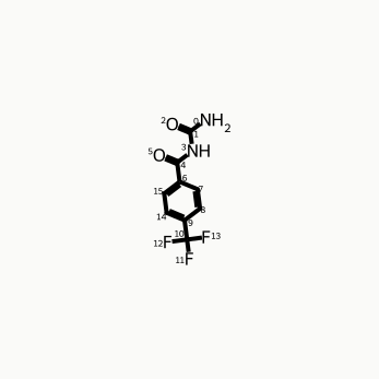 NC(=O)NC(=O)c1ccc(C(F)(F)F)cc1